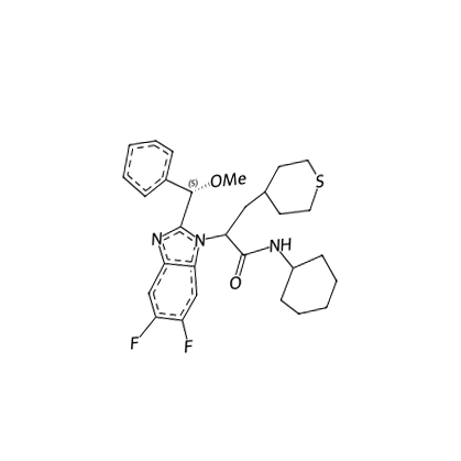 CO[C@@H](c1ccccc1)c1nc2cc(F)c(F)cc2n1C(CC1CCSCC1)C(=O)NC1CCCCC1